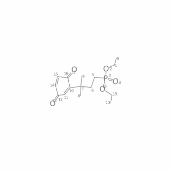 CCOP(=O)(CCC(C)(C)C1=CC(=O)C=CC1=O)OCC